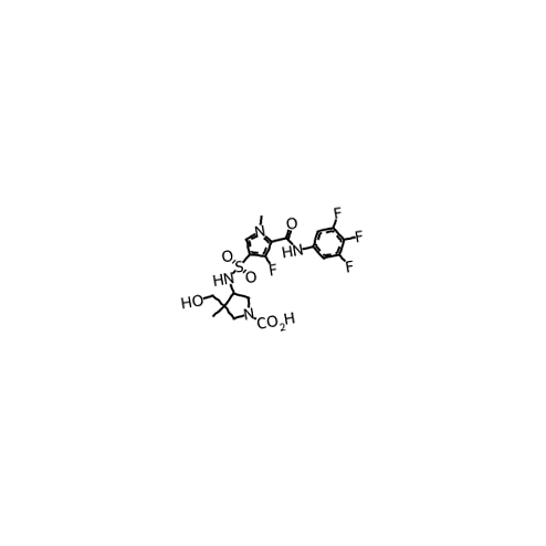 Cn1cc(S(=O)(=O)NC2CN(C(=O)O)CC2(C)CO)c(F)c1C(=O)Nc1cc(F)c(F)c(F)c1